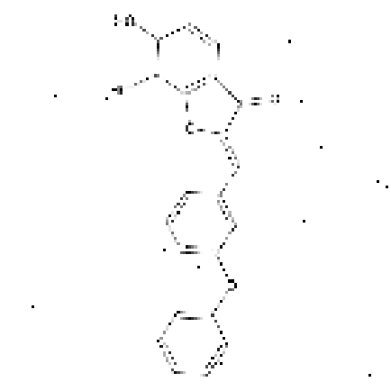 O=C1C(=Cc2cccc(Oc3ccccc3)c2)Oc2c1ccc(O)c2O